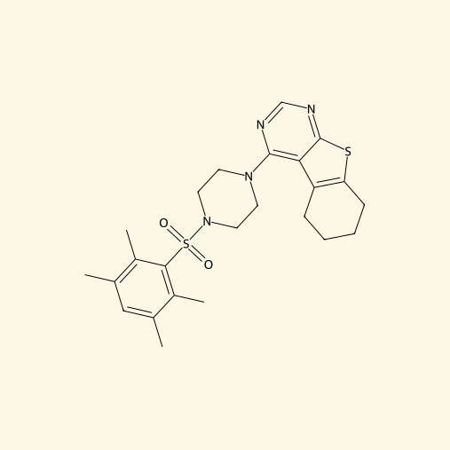 Cc1cc(C)c(C)c(S(=O)(=O)N2CCN(c3ncnc4sc5c(c34)CCCC5)CC2)c1C